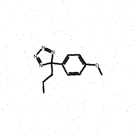 CCCC1(c2c[c]c(OC)cc2)N=NN=N1